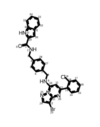 O=C(NCc1ccc(CNc2cc(-c3ccccc3Cl)nc3c(Br)cnn23)cc1)c1cc2ccccc2[nH]1